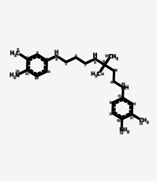 Cc1cc(NCCCNC(C)(C)CCNc2ccc(N)c(C)c2)ccc1N